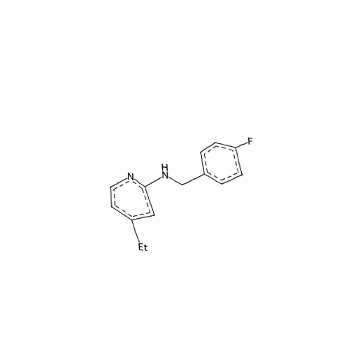 CCc1ccnc(NCc2ccc(F)cc2)c1